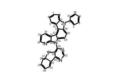 c1ccc(-n2c3ccccc3c3c4c5cccnc5n(-c5ncnc6c5sc5ccccc56)c4ccc32)cc1